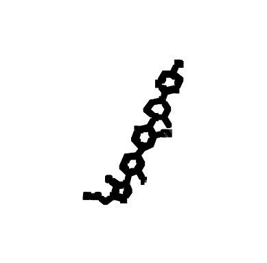 CCc1cnc(N2CCN(c3ncc(-c4ccc(-n5cnn(COC)c5=O)c(F)c4)cc3C#N)C(C)C2)nc1